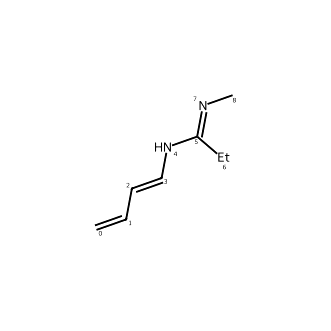 C=C/C=C/N/C(CC)=N/C